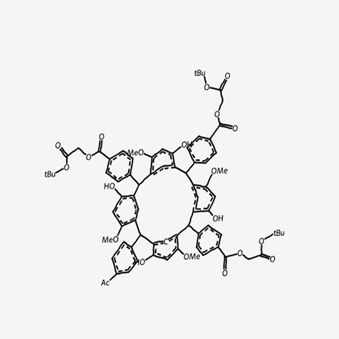 COc1cc(O)c2cc1C(c1ccc(C(C)=O)cc1)c1cc(c(OC)cc1O)C(c1ccc(C(=O)OCC(=O)OC(C)(C)C)cc1)c1cc(c(OC)cc1O)C(c1ccc(C(=O)OCC(=O)OC(C)(C)C)cc1)c1cc(c(OC)cc1O)C2c1ccc(C(=O)OCC(=O)OC(C)(C)C)cc1